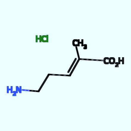 CC(=CCCN)C(=O)O.Cl